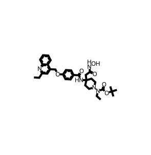 CCc1cc(COc2ccc(C(=O)NC3(CC(=O)NO)CCN(N(CC)C(=O)OC(C)(C)C)CC3)cc2)c2ccccc2n1